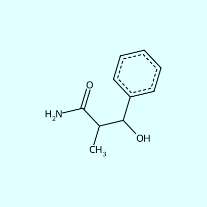 CC(C(N)=O)C(O)c1ccccc1